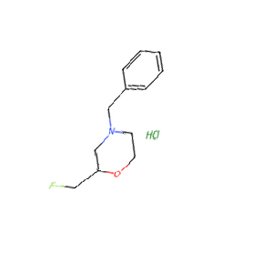 Cl.FCC1CN(Cc2ccccc2)CCO1